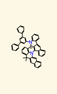 CC1(C)c2cc3ccccc3cc2N2c3c(cccc31)B1c3c(cc4ccccc4c32)-c2ccccc2N1c1cc(-c2ccccc2)cc(-c2ccccc2)c1